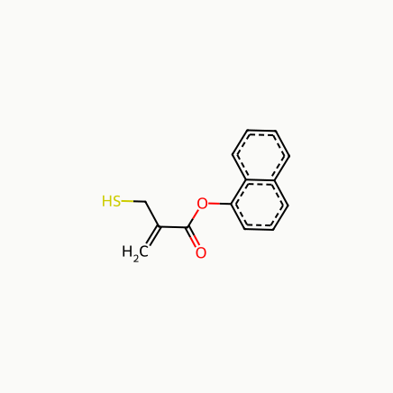 C=C(CS)C(=O)Oc1cccc2ccccc12